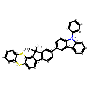 CC1(C)c2cc(-c3ccc4c(c3)c3ccccc3n4-c3ccccc3)ccc2-c2ccc3c(c21)Sc1ccccc1S3